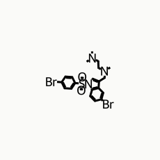 CN(C)CCN(C)Cc1cn(S(=O)(=O)c2ccc(Br)cc2)c2ccc(Br)cc12